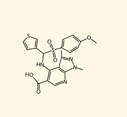 COc1ccc(S(=O)(=O)C(Nc2c(C(=O)O)cnc3c2c(C)nn3C)c2ccsc2)cc1